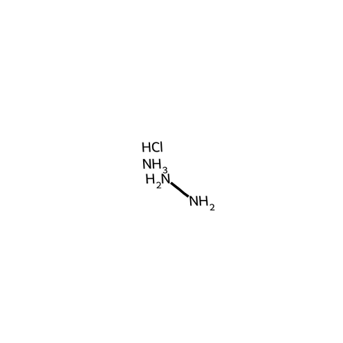 Cl.N.NN